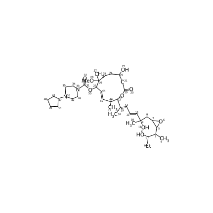 CCC(O)C(C)C1OC1CC(C)(O)/C=C/C=C(\C)C1OC(=O)CC(O)CCC(C)(OC)C(OC(=O)N2CCN(C3CCCC3)CC2)/C=C/C1C